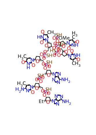 CC[C@H]1O[C@@H](n2cnc3c(N)ncnc32)CC1OP(=O)(S)OC[C@H]1O[C@@H](n2cc(C)c(N)nc2=O)CC1OP(=O)(S)OC[C@H]1O[C@@H](n2cnc3c(N)ncnc32)CC1OP(=O)(S)OC[C@H]1O[C@@H](n2cc(C)c(=O)[nH]c2=O)CC1OP(=O)(S)OC[C@H]1O[C@@H](n2cc(C)c(=O)[nH]c2=O)CC1OP(=O)(S)OC[C@H]1O[C@@H](n2cc(C)c(=O)[nH]c2=O)CC1OP(=O)(S)OC[C@H]1O[C@@H](n2cc(C)c(=O)[nH]c2=O)CC1OP(=O)(S)OC